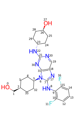 OC[C@H]1CC[C@@H](n2c(Nc3c(F)cccc3F)nc3cnc(N[C@H]4CC[C@H](O)CC4)nc32)CC1